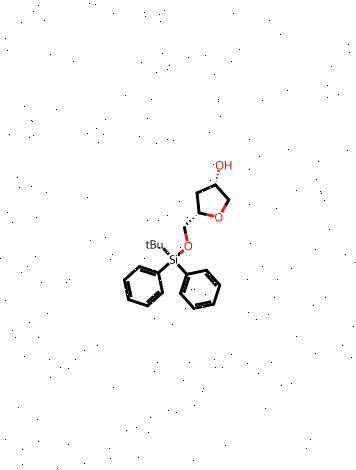 CC(C)(C)[Si](OC[C@@H]1C[C@H](O)CO1)(c1ccccc1)c1ccccc1